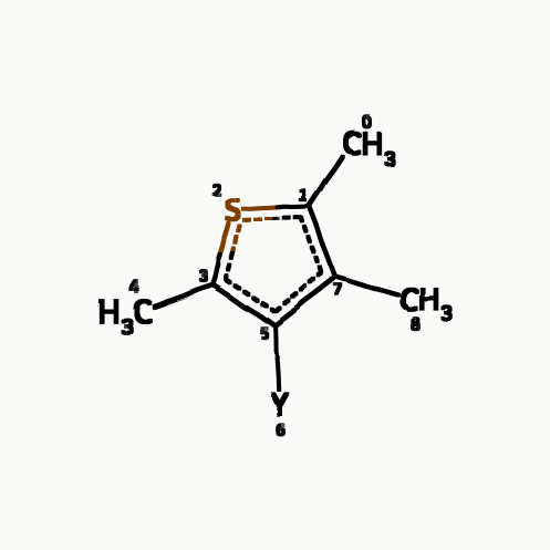 Cc1sc(C)[c]([Y])c1C